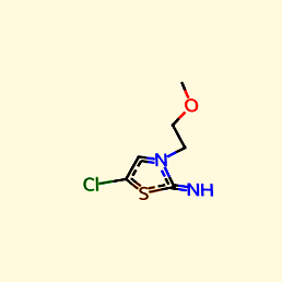 COCCn1cc(Cl)sc1=N